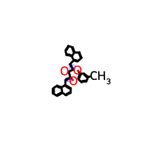 Cc1ccc2c(c1)O/C(=C\c1cccc3ccccc13)C(=O)/C(=C/c1cccc3ccccc13)O2